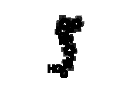 O=C(O)C1CN(Cc2ccc(-c3noc(C=CC4(c5cccc(F)c5)CCCC4)n3)cc2)C1